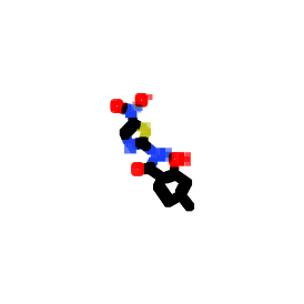 Cc1ccc(C(=O)Nc2ncc([N+](=O)[O-])s2)c(O)c1